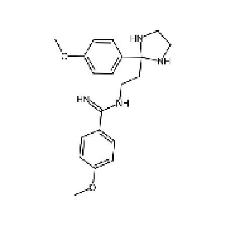 COc1ccc(C(=N)NCCC2(c3ccc(OC)cc3)NCCN2)cc1